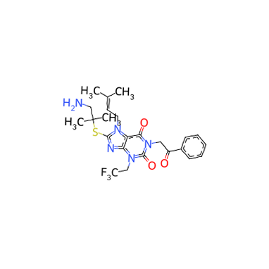 CC(C)=CCn1c(SC(C)(C)CN)nc2c1c(=O)n(CC(=O)c1ccccc1)c(=O)n2CC(F)(F)F